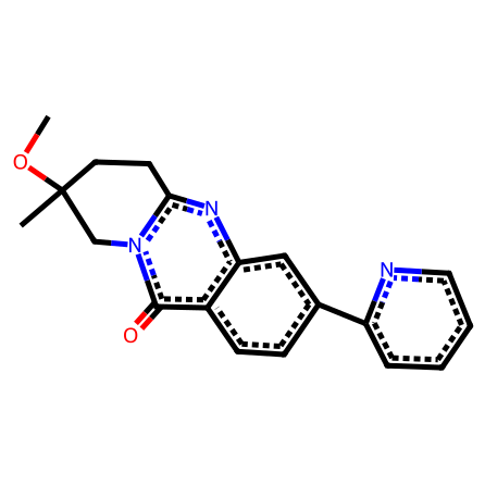 COC1(C)CCc2nc3cc(-c4ccccn4)ccc3c(=O)n2C1